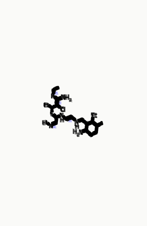 C/C=N\C(N)=C(\Cl)C(CC)SC(/C=N\CC)N/C=C/NCC1C(N)CCC(C)C1CC